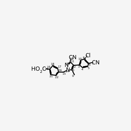 Cc1c(-c2ccc(C#N)c(Cl)c2)c(C#N)nn1Cc1ccc(C(=O)O)cc1